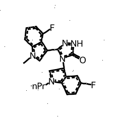 CC[CH]n1cc(-n2c(-c3cn(C)c4cccc(F)c34)n[nH]c2=O)c2cc(F)ccc21